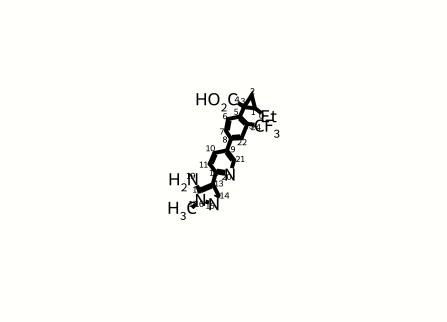 CCC1CC1(C(=O)O)c1ccc(-c2ccc(-c3cnn(C)c3N)nc2)cc1C(F)(F)F